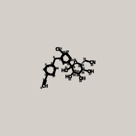 C#Cc1ccc(Cc2cc([C@]3(O)O[C@H](CC#N)[C@@H](O)[C@H](O)[C@H]3O)ccc2Cl)cc1